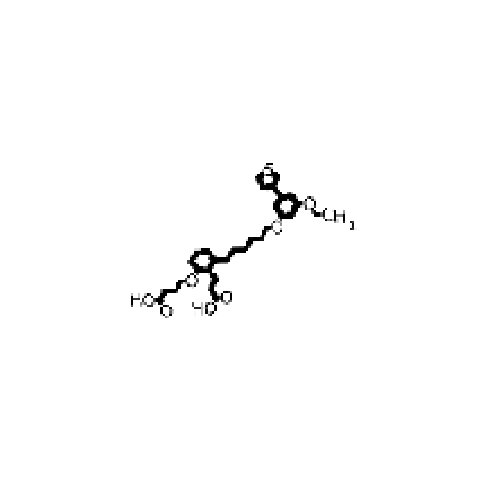 CCOc1cc(OCCCCCCc2cccc(OCCCC(=O)O)c2CCC(=O)O)cc(-c2ccsc2)c1